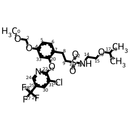 COCOc1ccc(CCS(=O)(=O)NCCOC(C)C)c(Oc2ncc(C(F)(F)F)cc2Cl)c1